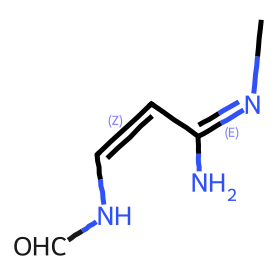 C/N=C(N)\C=C/NC=O